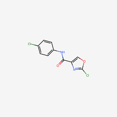 O=C(Nc1ccc(Cl)cc1)c1coc(Cl)n1